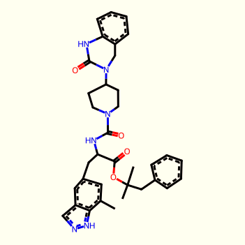 Cc1cc(CC(NC(=O)N2CCC(N3Cc4ccccc4NC3=O)CC2)C(=O)OC(C)(C)Cc2ccccc2)cc2cn[nH]c12